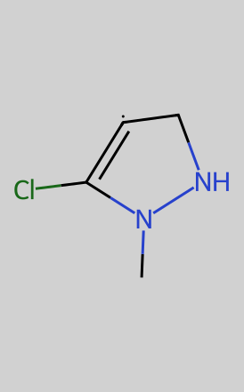 CN1NC[C]=C1Cl